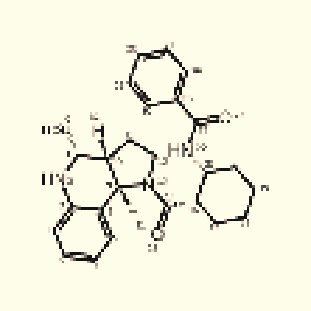 CCCC[C@H]1Nc2ccccc2[C@@H]2[C@H]1CCN2C(=O)[C@H]1CCCC[C@H]1NC(=O)c1ccccc1